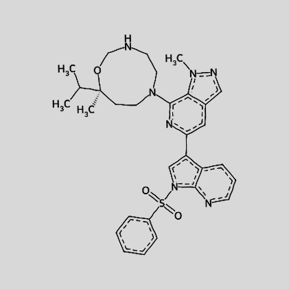 CC(C)[C@]1(C)CCN(c2nc(-c3cn(S(=O)(=O)c4ccccc4)c4ncccc34)cc3cnn(C)c23)CCNCO1